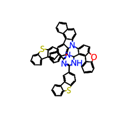 c1ccc2cc3c(cc2c1)c1c2ccccc2ccc1n3-c1ccc2oc3ccccc3c2c1C1N=C(c2ccc3sc4ccccc4c3c2)N=C(c2ccc3sc4ccccc4c3c2)N1